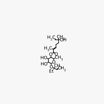 C=CC(C)(O)CC/C=C(\C)C(=O)OC1C(C)OC(O[C@](C)(C=C)CC)C(O)C1O